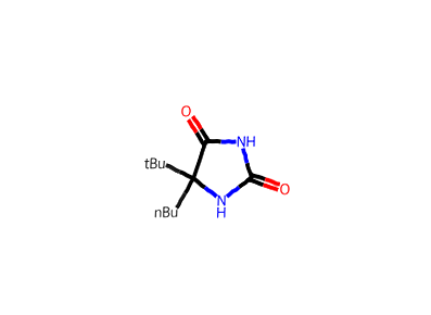 CCCCC1(C(C)(C)C)NC(=O)NC1=O